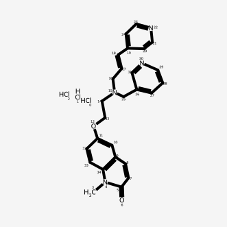 Cl.Cl.Cl.Cn1c(=O)ccc2cc(OCCN(C/C=C/c3ccncc3)Cc3cccnc3)ccc21